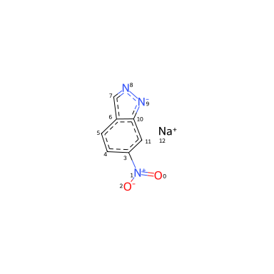 O=[N+]([O-])c1ccc2cn[n-]c2c1.[Na+]